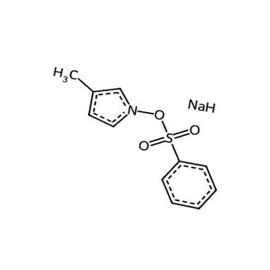 Cc1ccn(OS(=O)(=O)c2ccccc2)c1.[NaH]